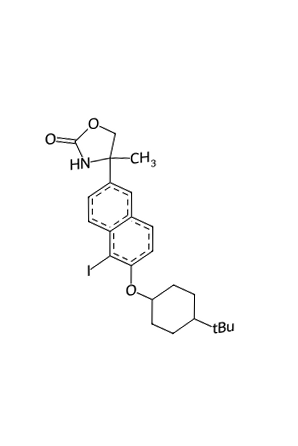 CC1(c2ccc3c(I)c(OC4CCC(C(C)(C)C)CC4)ccc3c2)COC(=O)N1